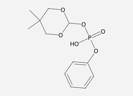 CC1(C)COC(OP(=O)(O)Oc2ccccc2)OC1